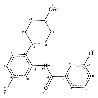 CC(=O)OC1CCN(c2ccc(Cl)cc2NC(=O)c2cccc(Cl)c2)CC1